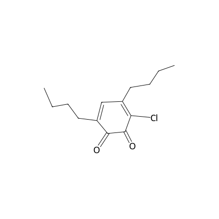 CCCCC1=CC(CCCC)=C(Cl)C(=O)C1=O